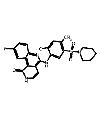 Cc1cc(C)c(S(=O)(=O)N2CCCCC2)cc1Nc1nc2ccc(F)cc2c2c(=O)[nH]ccc12